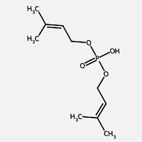 CC(C)=CCOP(=O)(O)OCC=C(C)C